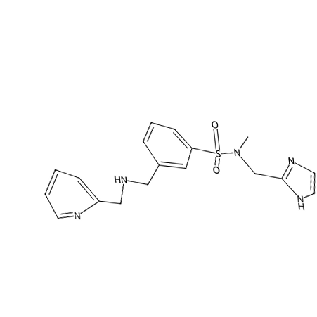 CN(Cc1ncc[nH]1)S(=O)(=O)c1cccc(CNCc2ccccn2)c1